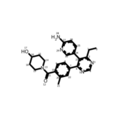 CCc1ncnc(-c2ccc(C(=O)N3CCC(O)CC3)c(C)c2)c1-c1ccc(N)nc1